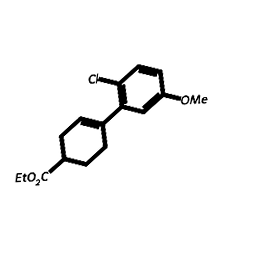 CCOC(=O)C1CC=C(c2cc(OC)ccc2Cl)CC1